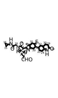 O=CCCS(=O)(=O)C(C(=O)NCC(=O)NC1CC1)c1nc2cc(-c3ccc4[nH]c(=O)ccc4c3)c(F)cc2s1